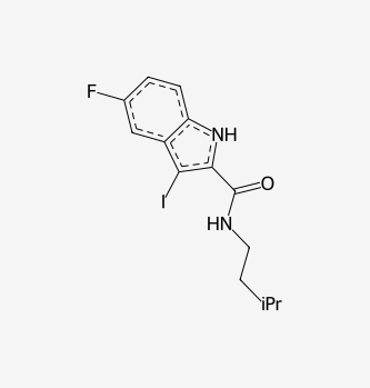 CC(C)CCNC(=O)c1[nH]c2ccc(F)cc2c1I